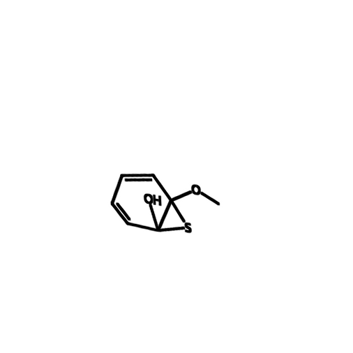 COC12C=CC=CC1(O)S2